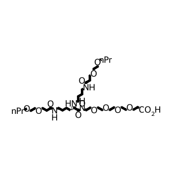 CCCOCCOCCC(=O)NCCCC[C@H](NC(=O)CCCNC(=O)CCOCCOCCC)C(=O)NCCOCCOCCOCCOCCC(=O)O